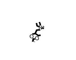 [CH2]C1OCC(CC[N+](C)(CC)CC)C(C)O1